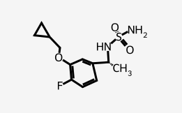 C[C@@H](NS(N)(=O)=O)c1ccc(F)c(OCC2CC2)c1